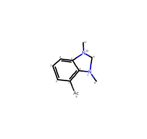 CC(=O)c1cccc2c1N(C)[CH]N2C